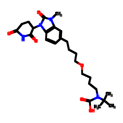 Cn1c(=O)n(C2CCC(=O)NC2=O)c2ccc(CCCCOCCCCN(C(=O)O)C(C)(C)C)cc21